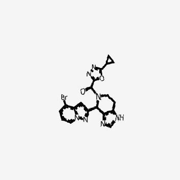 O=C(c1nnc(C2CC2)o1)N1CCc2[nH]cnc2C1c1cc2c(Br)cccn2n1